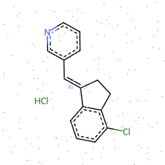 Cl.Clc1cccc2c1CC/C2=C\c1cccnc1